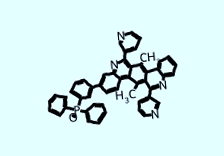 Cc1c2c(-c3cccnc3)nc3cc(-c4cccc(P(=O)(c5ccccc5)c5ccccc5)c4)ccc3c2c(C)c2c(-c3cccnc3)nc3ccccc3c12